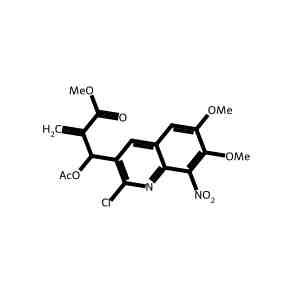 C=C(C(=O)OC)C(OC(C)=O)c1cc2cc(OC)c(OC)c([N+](=O)[O-])c2nc1Cl